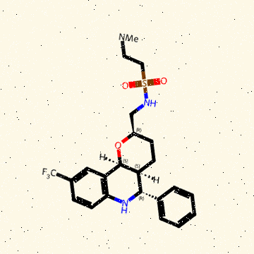 CNCCS(=O)(=O)NC[C@H]1CC[C@@H]2[C@H](O1)c1cc(C(F)(F)F)ccc1N[C@H]2c1ccccc1